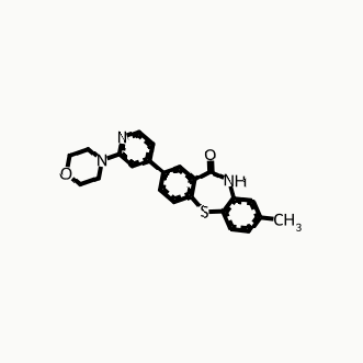 Cc1ccc2c(c1)NC(=O)c1cc(-c3ccnc(N4CCOCC4)c3)ccc1S2